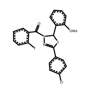 COc1ccccc1C1SC(c2ccc(Cl)cc2)=NN1C(=O)c1ccccc1F